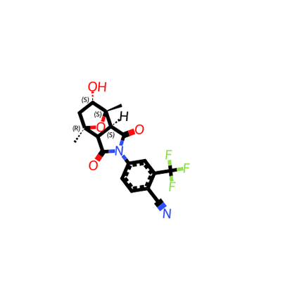 C[C@@]12O[C@](C)(C[C@@H]1O)C1C(=O)N(c3ccc(C#N)c(C(F)(F)F)c3)C(=O)[C@@H]12